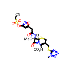 CO[C@@]1(NC(=O)Cc2cc(OS(=O)(=O)CC#N)no2)C(=O)N2C(C(=O)O)=C(CSc3nnnn3C)CS[C@@H]21